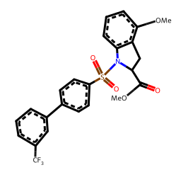 COC(=O)C1Cc2c(OC)cccc2N1S(=O)(=O)c1ccc(-c2cccc(C(F)(F)F)c2)cc1